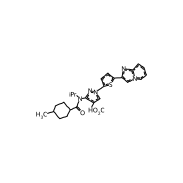 CC1CCC(C(=O)N(c2nn(-c3ccc(-c4cn5ccccc5n4)s3)cc2C(=O)O)C(C)C)CC1